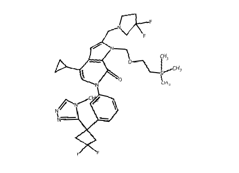 Cn1cnnc1C1(c2cccc(-n3cc(C4CC4)c4cc(CN5CCC(F)(F)C5)n(COCC[Si](C)(C)C)c4c3=O)c2)CC(F)(F)C1